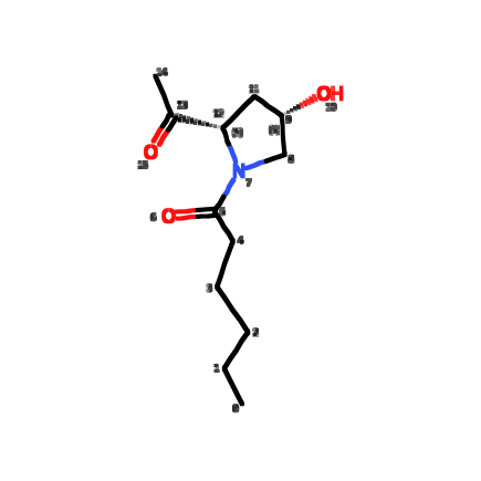 CCCCCC(=O)N1C[C@@H](O)C[C@H]1C(C)=O